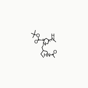 CCC(CNC(C)=O)CN1C[C@H](NC)C[C@@H]1C(=O)OC(C)(C)C